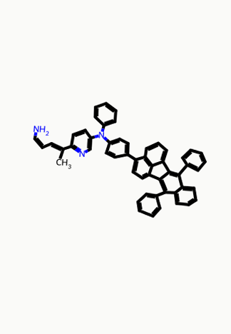 C/C(=C\C=C/N)c1ccc(N(c2ccccc2)c2ccc(-c3ccc4c5c(cccc35)-c3c-4c(-c4ccccc4)c4ccccc4c3-c3ccccc3)cc2)cn1